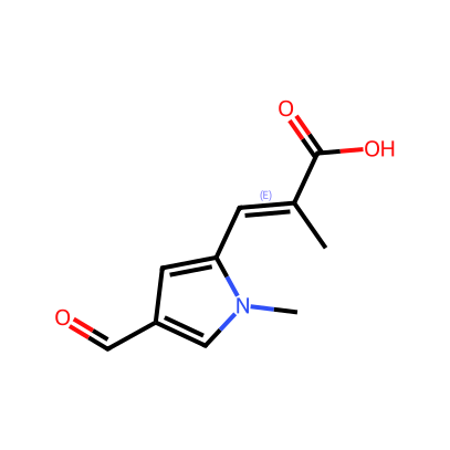 C/C(=C\c1cc(C=O)cn1C)C(=O)O